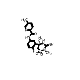 Cc1ccc(C(=O)Nc2ccc(F)c([C@]3(C)CS(=O)(=O)N(C)C(=N)N3)c2)nc1